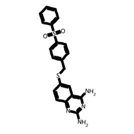 Nc1nc(N)c2cc(SCc3ccc(S(=O)(=O)c4ccccc4)cc3)ccc2n1